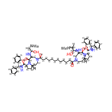 CN[C@@H](C)C(O)N[C@H]1CN(C(=O)CCCCCCCCCCC(=O)N2CC[C@H]3CC[C@@H](C(=O)NC(c4ccccc4)c4ccccc4)N3C(=O)[C@@H](NC(O)[C@H](C)NC)C2)CC[C@H]2CC[C@@H](C(=O)NC(c3ccccc3)c3ccccc3)N2C1=O